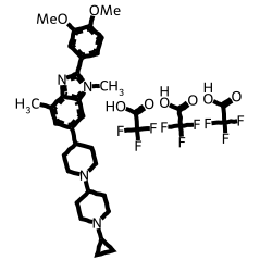 COc1ccc(-c2nc3c(C)cc(C4CCN(C5CCN(C6CC6)CC5)CC4)cc3n2C)cc1OC.O=C(O)C(F)(F)F.O=C(O)C(F)(F)F.O=C(O)C(F)(F)F